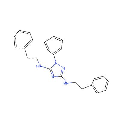 c1ccc(CCNc2nc(NCCc3ccccc3)n(-c3ccccc3)n2)cc1